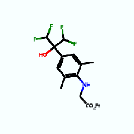 CCOC(=O)CNc1c(C)cc(C(O)(C(F)F)C(F)F)cc1C